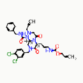 C#CCN1CC(=O)N2[C@@H](CCCNC(=O)OCC=C)C(=O)N(Cc3ccc(Cl)c(Cl)c3)C[C@@H]2N1C(=O)NCc1ccccc1